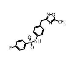 O=S(=O)(Nc1ccc(Cc2noc(C(F)(F)F)n2)cc1)c1ccc(F)cc1